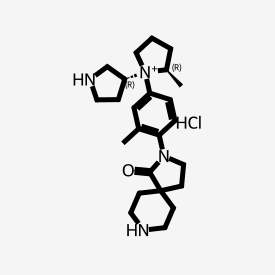 Cc1cc([N+]2([C@@H]3CCNC3)CCC[C@H]2C)ccc1N1CCC2(CCNCC2)C1=O.Cl